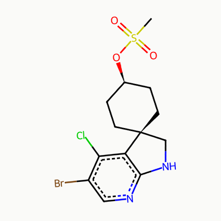 CS(=O)(=O)O[C@H]1CC[C@@]2(CC1)CNc1ncc(Br)c(Cl)c12